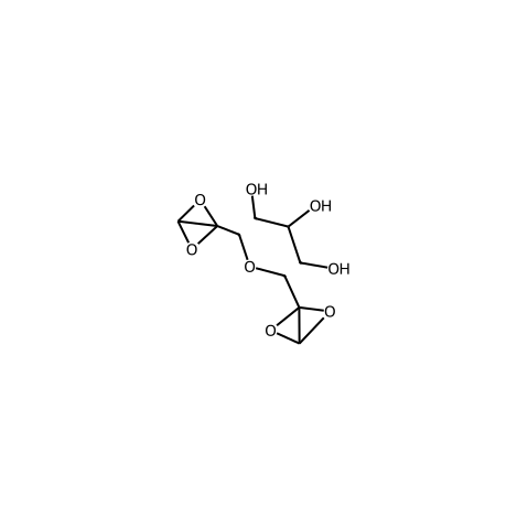 C(OCC12OC1O2)C12OC1O2.OCC(O)CO